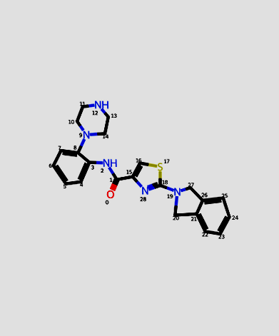 O=C(Nc1ccccc1N1CCNCC1)c1csc(N2Cc3ccccc3C2)n1